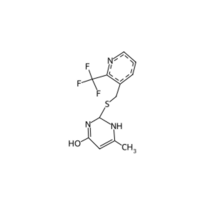 CC1=CC(O)=NC(SCc2cccnc2C(F)(F)F)N1